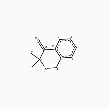 CC1(C)SCc2ccccc2C1=O